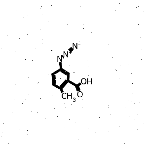 Cc1ccc(N=[N+]=[N-])cc1C(=O)O